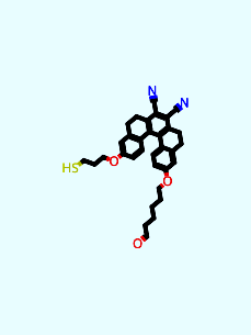 N#Cc1c(C#N)c2c(c3c1CCc1cc(OCCCS)ccc1-3)-c1ccc(OCCCCCC=O)cc1CC2